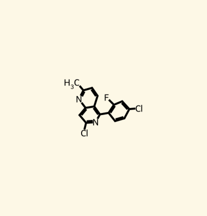 Cc1ccc2c(-c3ccc(Cl)cc3F)nc(Cl)cc2n1